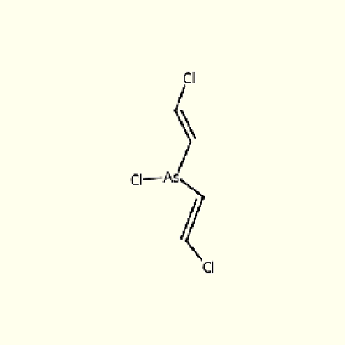 ClC=C[As](Cl)C=CCl